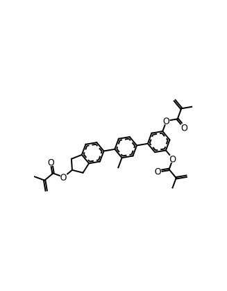 C=C(C)C(=O)Oc1cc(OC(=O)C(=C)C)cc(-c2ccc(-c3ccc4c(c3)CC(OC(=O)C(=C)C)C4)c(C)c2)c1